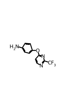 Nc1ccc(Oc2ccnc(C(F)(F)F)n2)cc1